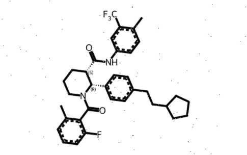 Cc1ccc(NC(=O)[C@H]2CCCN(C(=O)c3c(C)cccc3F)[C@H]2c2ccc(CCC3CCCC3)cc2)cc1C(F)(F)F